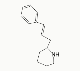 C(=Cc1ccccc1)CC1CCCCN1